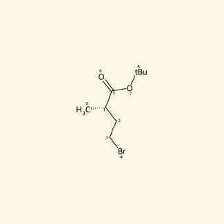 C[C@@H](CCBr)C(=O)OC(C)(C)C